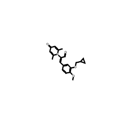 COc1ccc(/C=C(\C=O)n2c(C)cc(=O)cc2C)cc1OCC1CC1